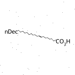 CCCCCCCCCCCCCCCCCCCCC=CCCCCCCCC(=O)O